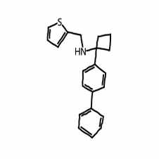 c1ccc(-c2ccc(C3(NCc4cccs4)CCC3)cc2)cc1